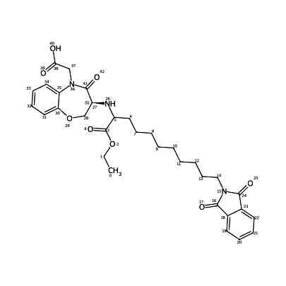 CCOC(=O)C(CCCCCCCCCN1C(=O)c2ccccc2C1=O)N[C@H]1COc2ccccc2N(CC(=O)O)C1=O